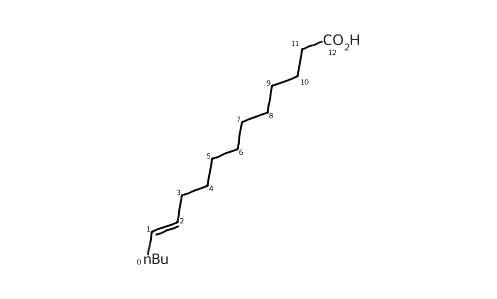 CCCCC=CCCCCCCCCCC(=O)O